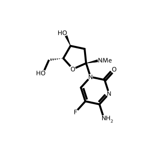 CN[C@]1(n2cc(F)c(N)nc2=O)C[C@H](O)[C@@H](CO)O1